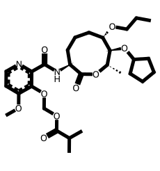 CCCO[C@H]1CCC[C@H](NC(=O)c2nccc(OC)c2OCOC(=O)C(C)C)C(=O)O[C@@H](C)[C@@H]1OC1CCCC1